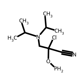 CC(C)N(CC(Cl)(C#N)OP)C(C)C